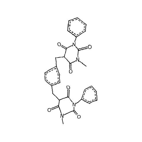 CN1C(=O)C(Cc2ccc(CC3C(=O)N(C)C(=O)N(c4ccccc4)C3=O)cc2)C(=O)N(c2ccccc2)C1=O